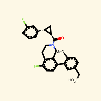 COc1ccc(CC(=O)O)cc1-c1ccc(F)c2c1CN(C(=O)[C@@H]1C[C@H]1c1cccc(F)c1)CC2